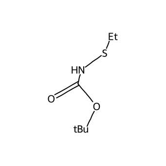 CCSNC(=O)OC(C)(C)C